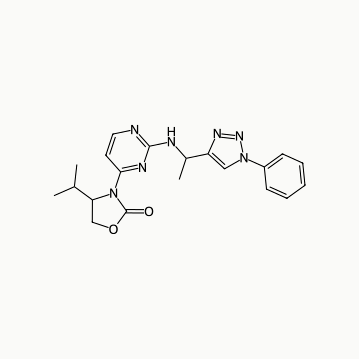 CC(Nc1nccc(N2C(=O)OCC2C(C)C)n1)c1cn(-c2ccccc2)nn1